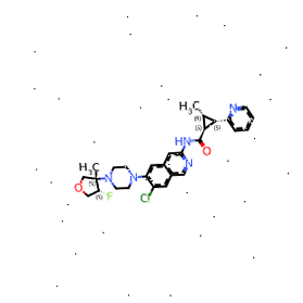 C[C@H]1[C@H](C(=O)Nc2cc3cc(N4CCN([C@@]5(C)COC[C@H]5F)CC4)c(Cl)cc3cn2)[C@H]1c1ccccn1